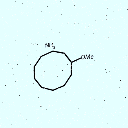 COC1CCCCCCCCC1.N